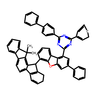 CC1(C)c2ccccc2-c2ccc3c(c21)C(c1cccc2c1oc1cc(-c4ccccc4)cc(-c4nc(C5=CCCC=C5)nc(-c5ccc(-c6ccccc6)cc5)n4)c12)C1=C3C=CCC1